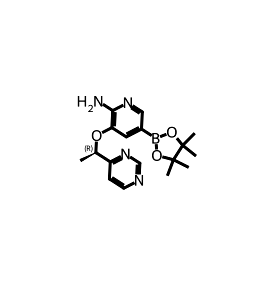 C[C@@H](Oc1cc(B2OC(C)(C)C(C)(C)O2)cnc1N)c1ccncn1